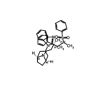 Cc1nc2ccccc2n1C1C[C@H]2CC[C@@H](C1)N2CC[C@](C)(CN(C)S(=O)(=O)c1ccccc1)c1ccccc1